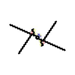 CCCCCCCCCCCCCCCCCCC1(CCCCCCCCCCCCCCCCCC)Oc2ccsc2-c2sc(-c3ccc(-c4cc5c(s4)-c4sccc4OC5(CCCCCCCCCCCCCCCCCC)CCCCCCCCCCCCCCCCCC)c4nsnc34)cc21